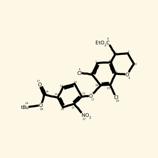 CCOC(=O)C1CCOc2c1cc(Cl)c(Oc1ccc(C(=O)OC(C)(C)C)cc1[N+](=O)[O-])c2Cl